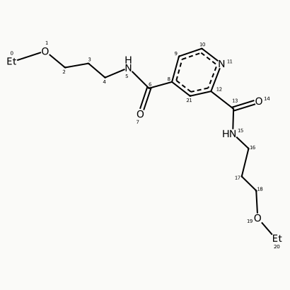 CCOCCCNC(=O)c1ccnc(C(=O)NCCCOCC)c1